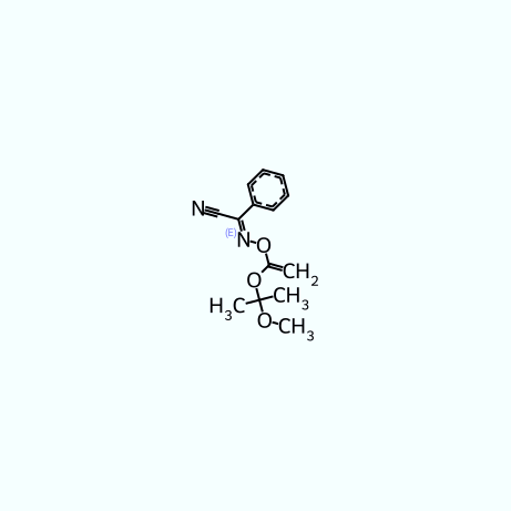 C=C(O/N=C(/C#N)c1ccccc1)OC(C)(C)OC